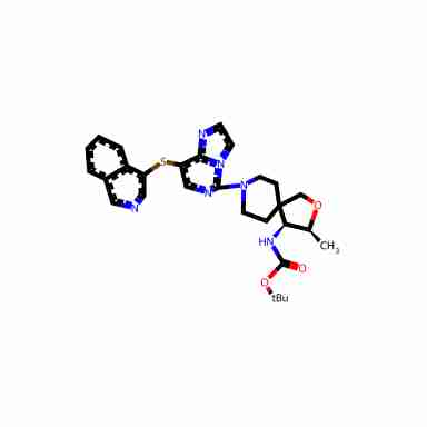 C[C@@H]1OCC2(CCN(c3ncc(Sc4cncc5ccccc45)c4nccn34)CC2)[C@@H]1NC(=O)OC(C)(C)C